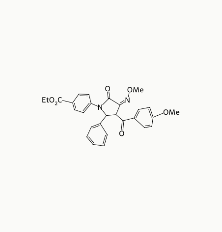 CCOC(=O)c1ccc(N2C(=O)C(=NOC)C(C(=O)c3ccc(OC)cc3)C2c2ccccc2)cc1